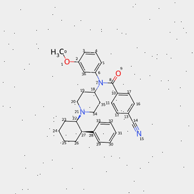 COc1cccc(N(C(=O)c2ccc(C#N)cc2)C2CCN([C@@H]3CCCC[C@@H]3c3ccccc3)CC2)c1